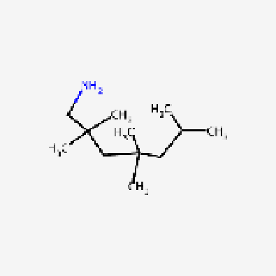 CC(C)CC(C)(C)CC(C)(C)CN